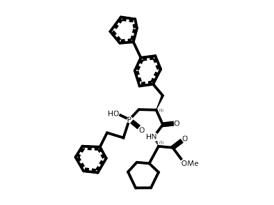 COC(=O)[C@@H](NC(=O)[C@H](Cc1ccc(-c2ccccc2)cc1)CP(=O)(O)CCc1ccccc1)C1CCCCC1